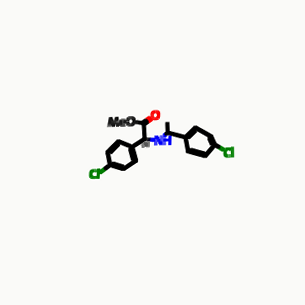 COC(=O)[C@@H](NC(C)c1ccc(Cl)cc1)c1ccc(Cl)cc1